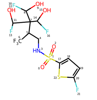 O=S(=O)(NCC(C(F)(F)F)C(C(O)F)(C(O)F)C(O)F)c1ccc(F)s1